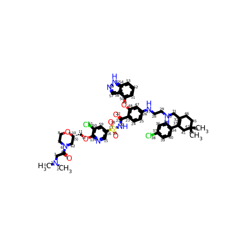 CN(C)CC(=O)N1CCO[C@H](COc2ncc(S(=O)(=O)NC(=O)c3ccc(NCCNCC4=C(c5ccc(Cl)cc5)CC(C)(C)CC4)cc3Oc3cccc4[nH]ncc34)cc2Cl)C1